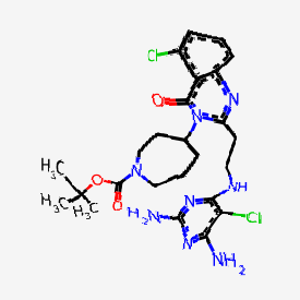 CC(C)(C)OC(=O)N1CCCC(n2c(CCNc3nc(N)nc(N)c3Cl)nc3cccc(Cl)c3c2=O)CC1